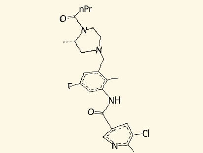 CCCC(=O)N1CCN(Cc2cc(F)cc(NC(=O)c3cnc(C)c(Cl)c3)c2C)C[C@@H]1C